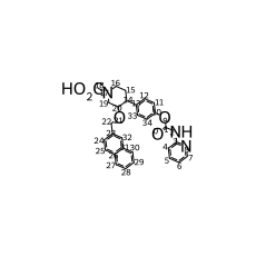 O=C(Nc1ccccn1)Oc1ccc(C2CCN(C(=O)O)CC2OCc2ccc3ccccc3c2)cc1